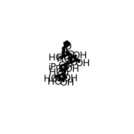 CC(C)C1OC(COC2OC(CO)C(O)C(OC3CN(Cc4ccco4)CC(CO)O3)C2O)C(O)C(OC2OC(CO)C(O)C(O)C2O)C1O